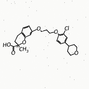 C[C@]1(C(=O)O)CCc2ccc(OCCCOc3ccc(C4CCOCC4)cc3Cl)cc2O1